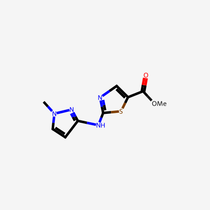 COC(=O)c1cnc(Nc2ccn(C)n2)s1